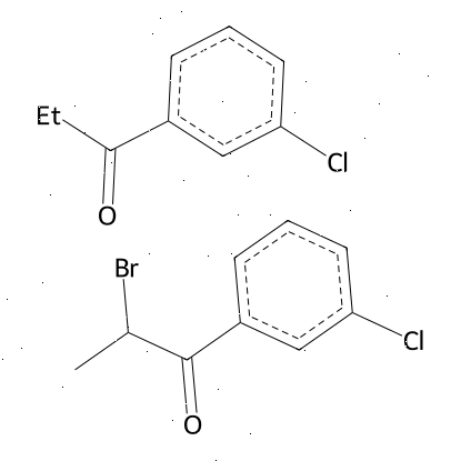 CC(Br)C(=O)c1cccc(Cl)c1.CCC(=O)c1cccc(Cl)c1